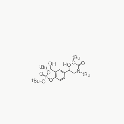 CC(C)(C)OC(=O)N(CC(O)c1ccc(OP(=O)(OC(C)(C)C)OC(C)(C)C)c(CO)c1)C(C)(C)C